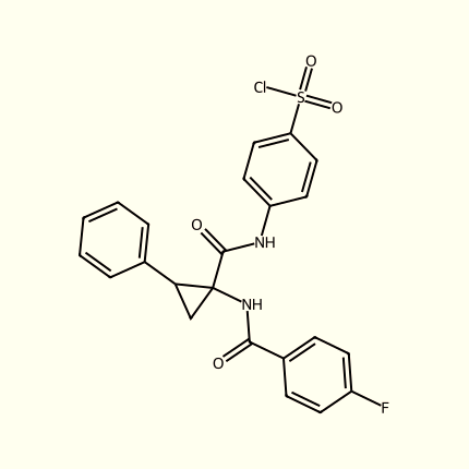 O=C(NC1(C(=O)Nc2ccc(S(=O)(=O)Cl)cc2)CC1c1ccccc1)c1ccc(F)cc1